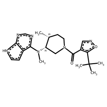 C[C@@H]1CCN(C(=O)c2cnoc2C(C)(C)C)C[C@@H]1N(C)c1ncnc2[nH]ccc12